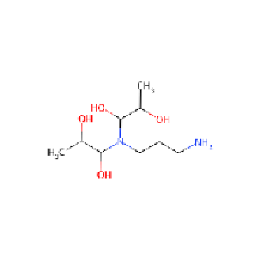 CC(O)C(O)N(CCCN)C(O)C(C)O